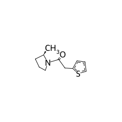 C[C@@H]1CCCN1C(=O)Cc1cccs1